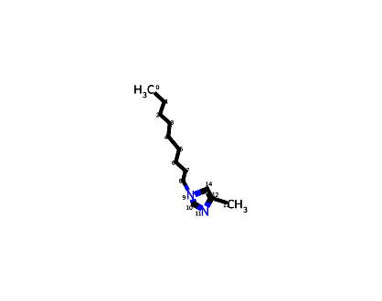 CCCCCCCCCn1cnc(C)c1